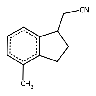 Cc1cccc2c1CCC2CC#N